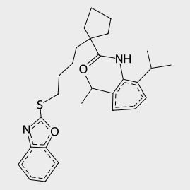 CC(C)c1cccc(C(C)C)c1NC(=O)C1(CCCCSc2nc3ccccc3o2)CCCC1